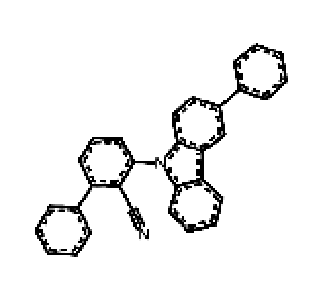 N#Cc1c(-c2ccccc2)cccc1-n1c2ccccc2c2cc(-c3ccccc3)ccc21